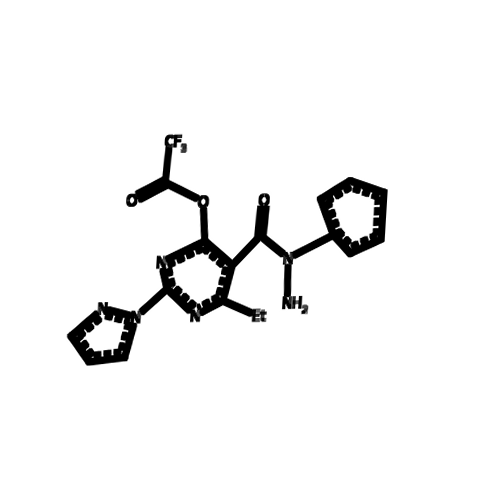 CCc1nc(-n2cccn2)nc(OC(=O)C(F)(F)F)c1C(=O)N(N)c1ccccc1